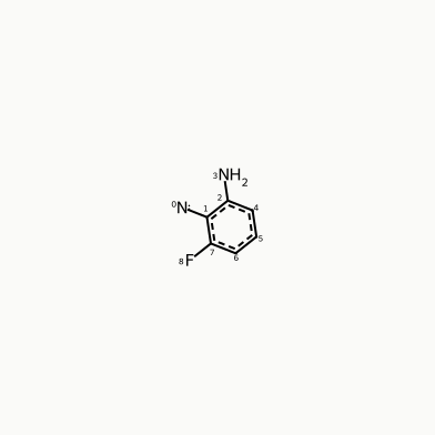 [N]c1c(N)cccc1F